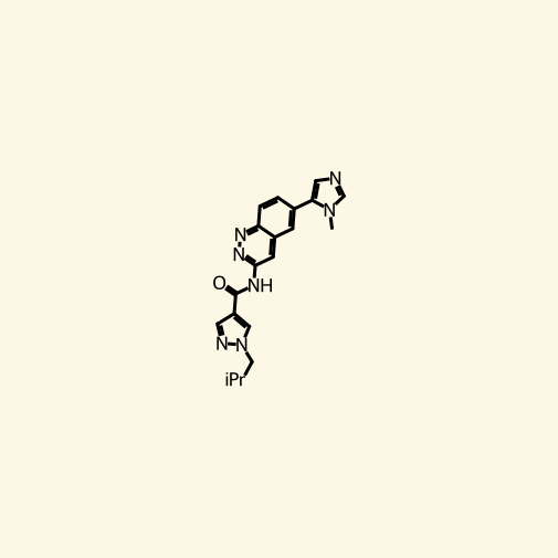 CC(C)Cn1cc(C(=O)Nc2cc3cc(-c4cncn4C)ccc3nn2)cn1